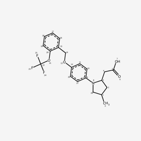 CC1CC(CC(=O)O)N(c2ccc(OCc3ccccc3OC(F)(F)F)cc2)C1